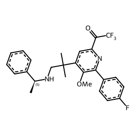 COc1c(C(C)(C)CN[C@@H](C)c2ccccc2)cc(C(=O)C(F)(F)F)nc1-c1ccc(F)cc1